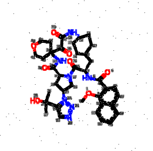 COc1c(C(=O)N[C@H](CC2CCCCC2)C(=O)N2C[C@@H](n3nncc3C(C)(C)O)C[C@H]2C(=O)NC2(C(=O)C(N)=O)CCOCC2)ccc2ccccc12